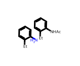 CCc1ccccc1N.CCc1ccccc1NC(C)=O